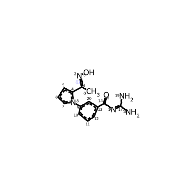 C/C(=N\O)c1cccn1-c1cccc(C(=O)N=C(N)N)c1